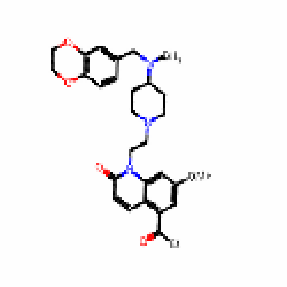 BN(Cc1ccc2c(c1)OCCO2)C1CCN(CCn2c(=O)ccc3c(C(=O)CC)cc(OC)cc32)CC1